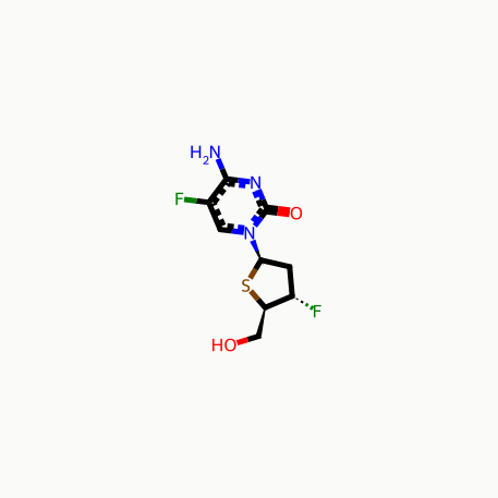 Nc1nc(=O)n([C@H]2C[C@H](F)[C@@H](CO)S2)cc1F